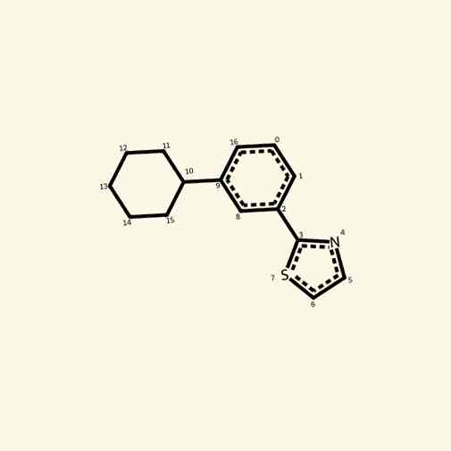 c1cc(-c2nccs2)cc(C2CCCCC2)c1